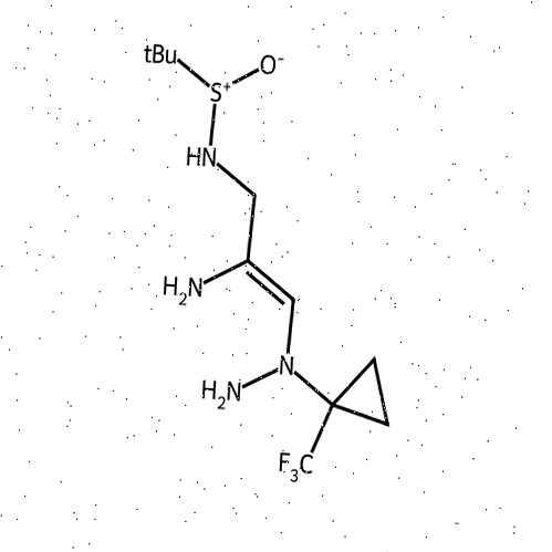 CC(C)(C)[S+]([O-])NC/C(N)=C/N(N)C1(C(F)(F)F)CC1